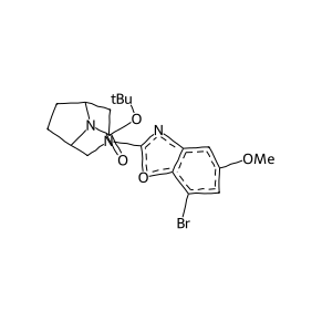 COc1cc(Br)c2oc(N3CC4CCC(C3)N4C(=O)OC(C)(C)C)nc2c1